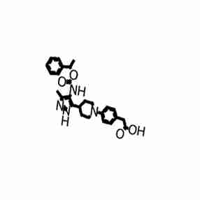 Cc1n[nH]c(C2CCN(c3ccc(CC(=O)O)cc3)CC2)c1NC(=O)OC(C)c1ccccc1